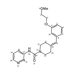 COCCOc1cccc(C=C2CCN(C(=O)Nc3cccnn3)CC2)c1